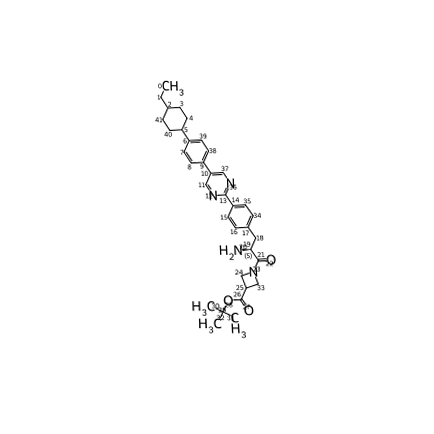 CCC1CCC(c2ccc(-c3cnc(-c4ccc(C[C@H](N)C(=O)N5CC(C(=O)OC(C)(C)C)C5)cc4)nc3)cc2)CC1